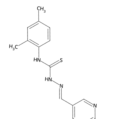 Cc1ccc(NC(=S)N/N=C/c2cccnc2)c(C)c1